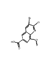 COc1cc(C(=O)O)cc2cc(Br)c(Cl)nc12